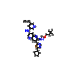 COc1cncc(Nc2cnc3cc(-c4nnc(C5CCCC5)s4)c(NCOCC[Si](C)(C)C)nc3c2)c1